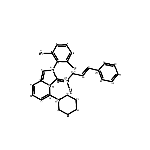 CC(C)c1cccc(C(C)C)c1-n1cc2cccc(N3CCCCC3)n2[c]1=[Pd]([Cl])[CH2]C=Cc1ccccc1